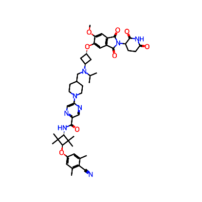 COc1cc2c(cc1O[C@H]1C[C@H](N(CC3CCN(c4cnc(C(=O)N[C@H]5C(C)(C)[C@H](Oc6cc(C)c(C#N)c(C)c6)C5(C)C)cn4)CC3)C(C)C)C1)C(=O)N(C1CCC(=O)NC1=O)C2=O